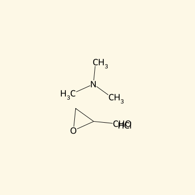 CN(C)C.Cl.O=CC1CO1